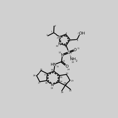 CC(C)n1cc(CO)c([S@@](N)(=O)=NC(=O)Nc2c3c(nc4c2CCC4(C)C)CCC3)n1